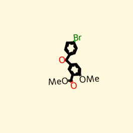 COC(=O)c1cc(C(=O)c2ccc(Br)cc2)ccc1OC